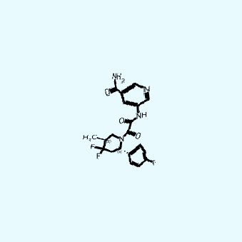 C[C@H]1CN(C(=O)C(=O)Nc2cncc(C(N)=O)c2)[C@H](c2ccc(F)cc2)CC1(F)F